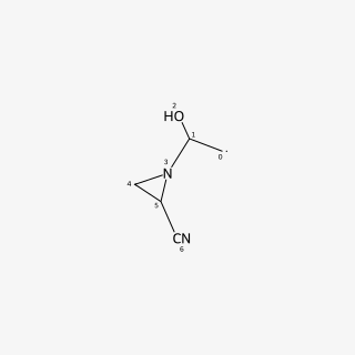 [CH2]C(O)N1CC1C#N